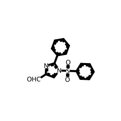 O=Cc1cn(S(=O)(=O)c2ccccc2)c(-c2ccccc2)n1